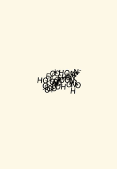 C#C[C@@]1(N=[N+]=[N-])[C@H](O)[C@@H](COP(=O)(S)OP(=O)(O)OC2OC([C@@H](F)COC(C)=O)C(O)C(OC(C)=O)C2OC(C)=O)O[C@H]1n1ccc(=O)[nH]c1=O